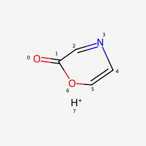 O=c1cncco1.[H+]